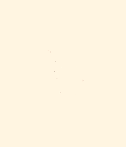 CCOC1(c2c(F)c(F)c(C(F)(F)F)c(F)c2F)CCCC[Si]1(OCC)OCC